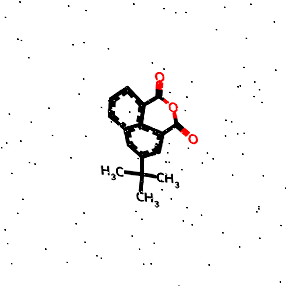 CC(C)(C)c1cc2c3c(cccc3c1)C(=O)OC2=O